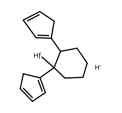 [H-].[Hf][C]1(C2=CC=CC2)CCCCC1C1=CC=CC1